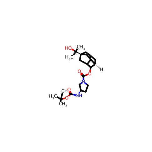 CC(C)(C)OC(=O)N[C@@H]1CCN(C(=O)OC2C3CC4C[C@@H]2C[C@@](C(C)(C)O)(C4)C3)C1